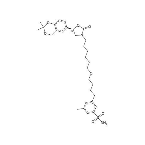 Cc1cc(CCCCOCCCCCCN2C[C@@H](c3ccc4c(c3)COC(C)(C)O4)OC2=O)cc(S(N)(=O)=O)c1